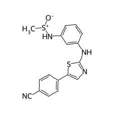 C[S+]([O-])Nc1cccc(Nc2ncc(-c3ccc(C#N)cc3)s2)c1